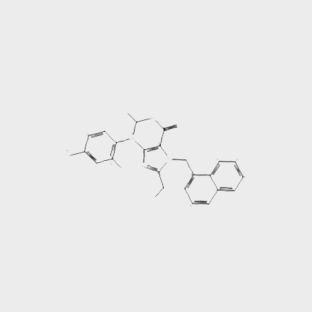 CCc1nc2c(n1Cc1cccc3ccccc13)C(=O)NC(C)N2c1ccc(Cl)cc1Cl